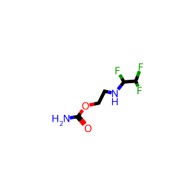 NC(=O)OCCNC(F)C(F)F